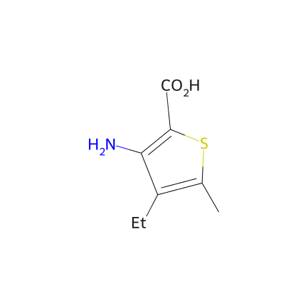 CCc1c(C)sc(C(=O)O)c1N